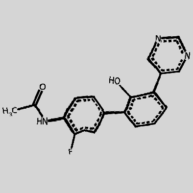 CC(=O)Nc1ccc(-c2cccc(-c3cncnc3)c2O)cc1F